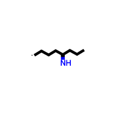 [CH2]CCCC(=N)CCC